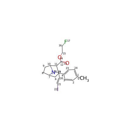 Cc1ccc(C2CC3CCC(C2C(=O)OCCF)N3C/C=C/I)cc1